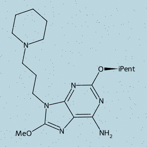 CCC[C@H](C)Oc1nc(N)c2nc(OC)n(CCCN3CCCCC3)c2n1